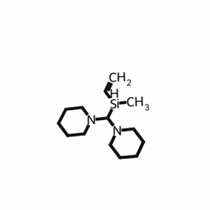 C=C[SiH](C)C(N1CCCCC1)N1CCCCC1